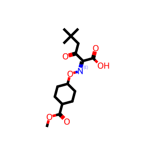 COC(=O)C1CCC(O/N=C(/C(=O)O)C(=O)CC(C)(C)C)CC1